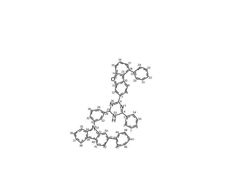 c1ccc(C2=NC(c3ccc4c(c3)oc3cccc(-c5ccccc5)c34)=NC(c3cccc(-n4c5ccccc5c5ccc(-c6ccccc6)cc54)c3)N2)cc1